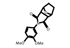 COc1ccc(N2C(=O)C3C4CCC(O4)C3C2=O)cc1OC